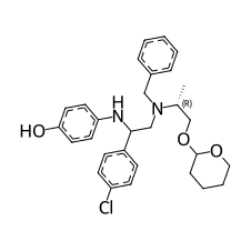 C[C@H](COC1CCCCO1)N(Cc1ccccc1)CC(Nc1ccc(O)cc1)c1ccc(Cl)cc1